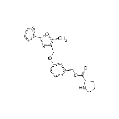 Cc1oc(-c2cccs2)nc1COc1cccc(COC(=O)C2CCCN2)c1